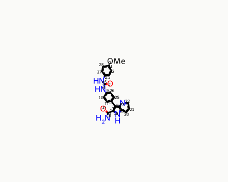 COc1ccc(NC(=O)Nc2ccc(-c3c(C(N)=O)[nH]c4cccnc34)cc2)cc1